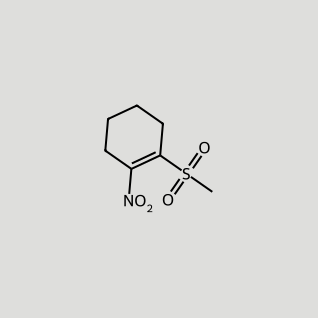 CS(=O)(=O)C1=C([N+](=O)[O-])CCCC1